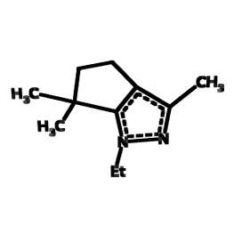 CCn1nc(C)c2c1C(C)(C)CC2